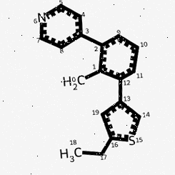 [CH2]c1c(-c2ccncc2)cccc1-c1csc(CC)c1